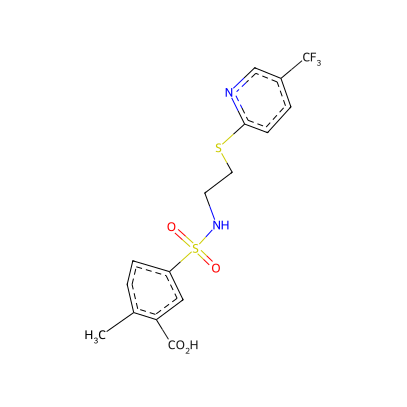 Cc1ccc(S(=O)(=O)NCCSc2ccc(C(F)(F)F)cn2)cc1C(=O)O